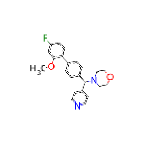 COc1cc(F)ccc1-c1ccc([C@H](c2ccncc2)N2CCOCC2)cc1